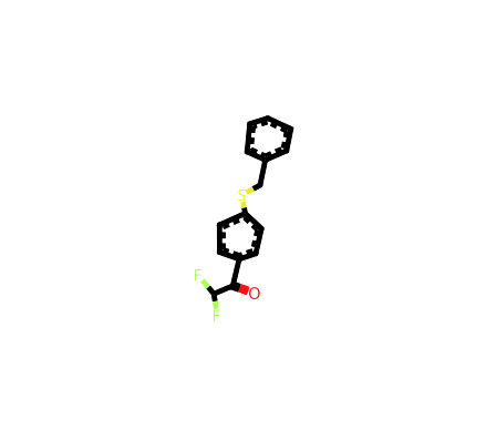 O=C(c1ccc(SCc2ccccc2)cc1)C(F)F